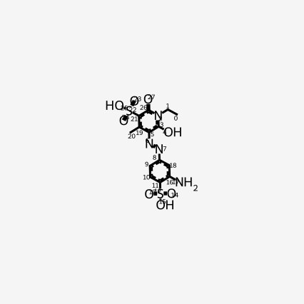 CCn1c(O)c(N=Nc2ccc(S(=O)(=O)O)c(N)c2)c(C)c(S(=O)(=O)O)c1=O